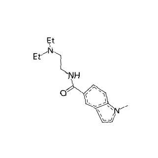 CCN(CC)CCNC(=O)c1ccc2c(ccn2C)c1